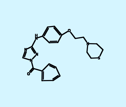 O=C(c1ccccc1)n1cnc(Nc2ccc(OCCN3CCSCC3)cc2)n1